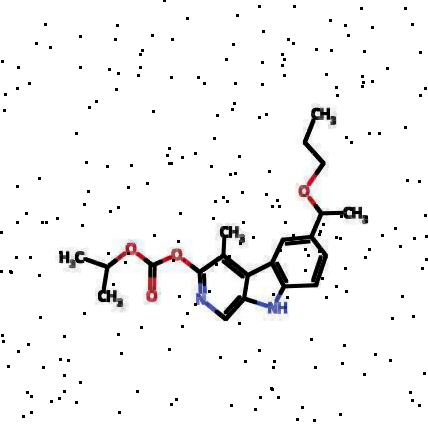 CCCOC(C)c1ccc2[nH]c3cnc(OC(=O)OC(C)C)c(C)c3c2c1